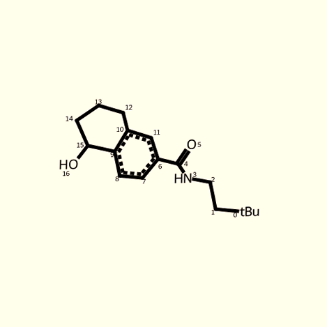 CC(C)(C)CCNC(=O)c1ccc2c(c1)CCCC2O